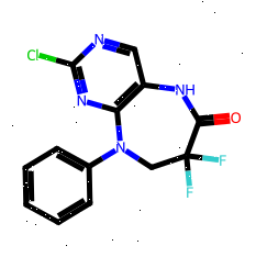 O=C1Nc2cnc(Cl)nc2N(c2ccccc2)CC1(F)F